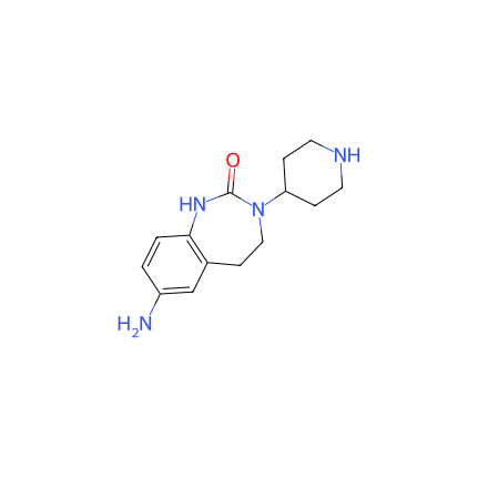 Nc1ccc2c(c1)CCN(C1CCNCC1)C(=O)N2